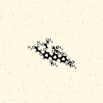 COC(=O)COc1cc(-c2c(OC)cc(-c3ccc(OS(C)(=O)=O)cc3)c(OC)c2OS(C)(=O)=O)ccc1OCC=C(C)C